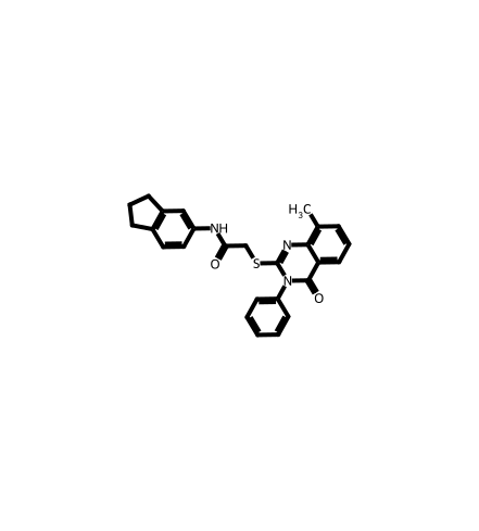 Cc1cccc2c(=O)n(-c3ccccc3)c(SCC(=O)Nc3ccc4c(c3)CCC4)nc12